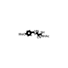 COc1ccc(CSC(=N)/C(C#N)=C(\S)NC(C)=O)cc1